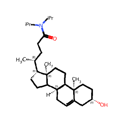 CC(C)N(C(=O)CC[C@@H](C)[C@H]1CCC2[C@@H]3CC=C4C[C@@H](O)CC[C@]4(C)C3CC[C@@]21C)C(C)C